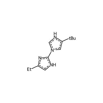 CCc1c[nH]c(-[n+]2c[nH]c(C(C)(C)C)c2)n1